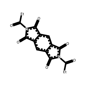 CCC(=O)n1c(=O)c2cc3c(=O)n(C(=O)CC)c(=O)c3cc2c1=O